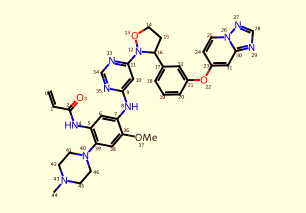 C=CC(=O)Nc1cc(Nc2cc(N3OCCC3c3cccc(Oc4ccn5ncnc5c4)c3)ncn2)c(OC)cc1N1CCN(C)CC1